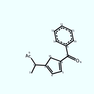 CC(=O)C(C)C1=CC=C(C(=O)c2ccccc2)C1